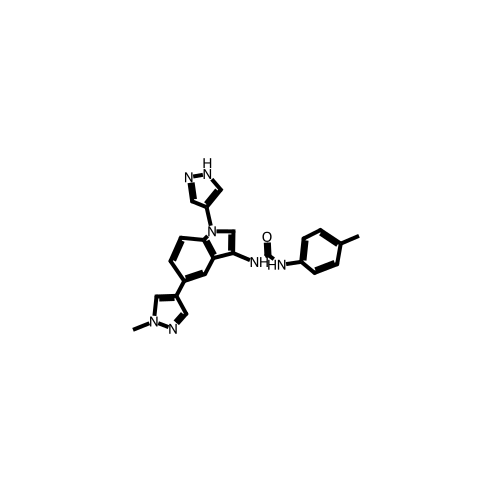 Cc1ccc(NC(=O)Nc2cn(-c3cn[nH]c3)c3ccc(-c4cnn(C)c4)cc23)cc1